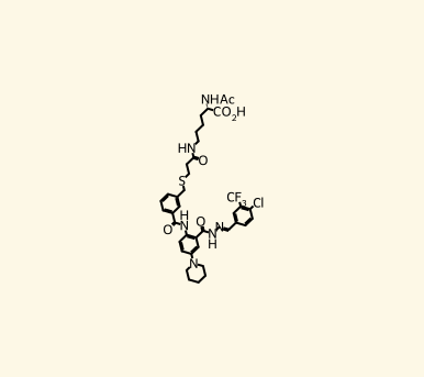 CC(=O)N[C@@H](CCCCNC(=O)CCSCc1cccc(C(=O)Nc2ccc(N3CCCCC3)cc2C(=O)NN=Cc2ccc(Cl)c(C(F)(F)F)c2)c1)C(=O)O